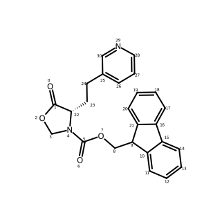 O=C1OCN(C(=O)OCC2c3ccccc3-c3ccccc32)[C@H]1CCc1cccnc1